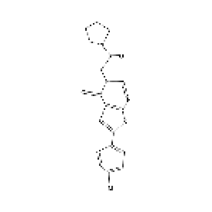 O=C(Cn1cnc2sc(-c3ccc(Cl)cc3)cc2c1=O)N1CCCC1